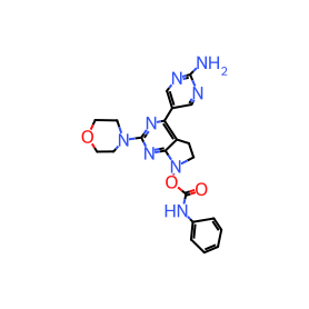 Nc1ncc(-c2nc(N3CCOCC3)nc3c2CCN3OC(=O)Nc2ccccc2)cn1